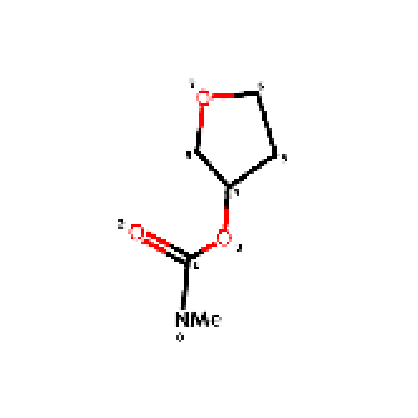 CNC(=O)OC1CCOC1